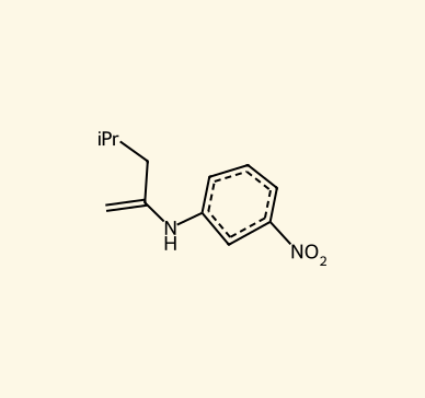 C=C(CC(C)C)Nc1cccc([N+](=O)[O-])c1